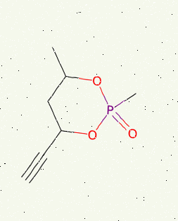 C#CC1CC(C)OP(C)(=O)O1